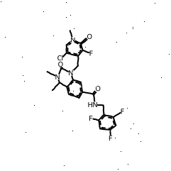 CC1c2ccc(C(=O)NCc3c(F)cc(F)cc3F)cc2N(Cc2c(Cl)cn(C)c(=O)c2F)C(=O)N1C